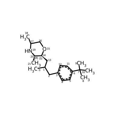 CC(Cc1ccc(C(C)(C)C)cc1)C[C@@H]1OCC(C)N[C@@H]1C